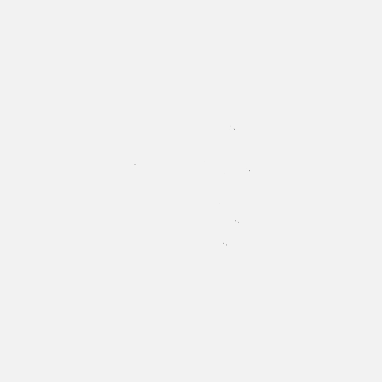 CSc1nnc(-c2ncnc3ccc(Br)cc23)o1